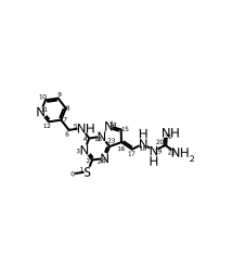 CSC1=NC(NCc2cccnc2)n2ncc(=CNNC(=N)N)c2=N1